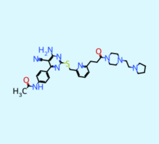 CC(=O)Nc1ccc(-c2nc(SCc3cccc(CCC(=O)N4CCN(CCN5CCCC5)CC4)n3)nc(N)c2C#N)cc1